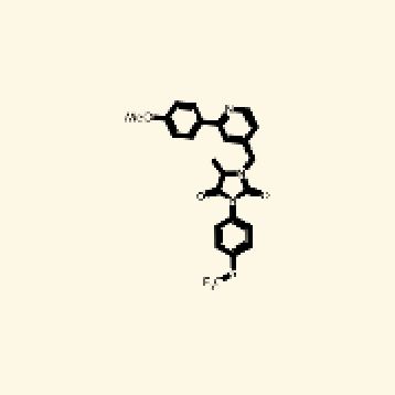 COc1ccc(-c2cc(CN3C(=O)N(c4ccc(SC(F)(F)F)cc4)C(=O)C3C)ccn2)cc1